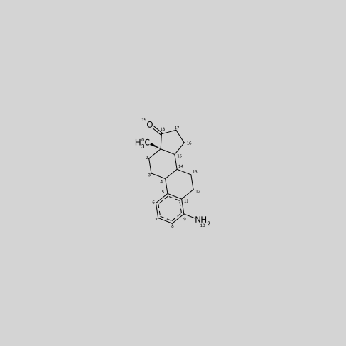 C[C@]12CCC3c4cccc(N)c4CCC3C1CCC2=O